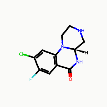 O=C1N[C@H]2CNCCN2c2cc(Cl)c(F)cc21